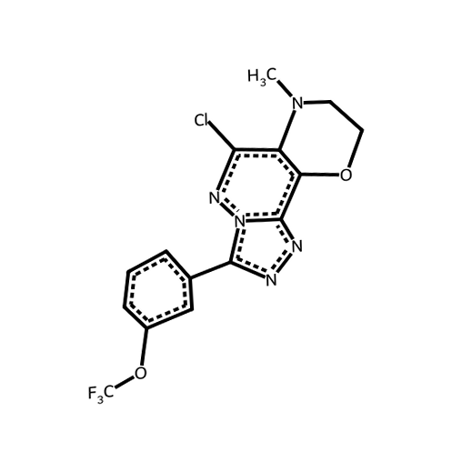 CN1CCOc2c1c(Cl)nn1c(-c3cccc(OC(F)(F)F)c3)nnc21